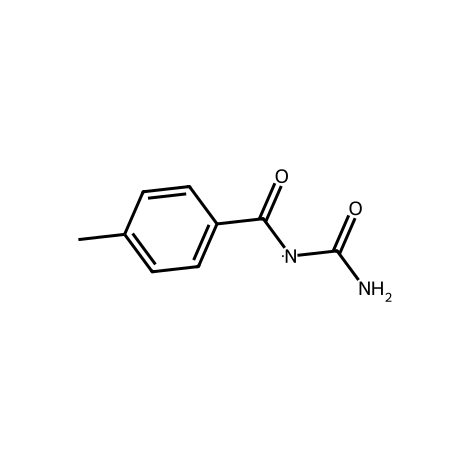 Cc1ccc(C(=O)[N]C(N)=O)cc1